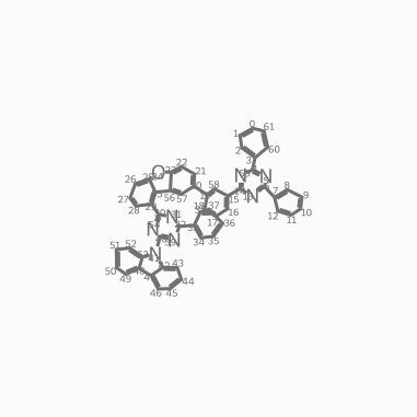 c1ccc(-c2nc(-c3ccccc3)nc(-c3cccc(-c4ccc5oc6cccc(-c7nc(-c8ccccc8)nc(-n8c9ccccc9c9ccccc98)n7)c6c5c4)c3)n2)cc1